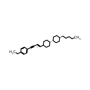 CCCCC[C@H]1CC[C@H](C2CCC(/C=C/C#Cc3ccc(CC)cc3)CC2)CC1